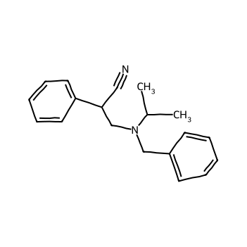 CC(C)N(Cc1ccccc1)CC(C#N)c1ccccc1